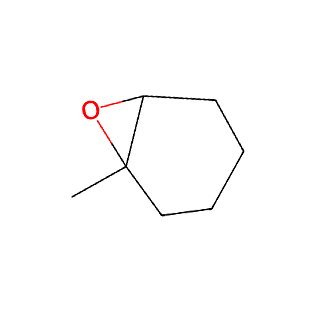 CC12CCCCC1O2